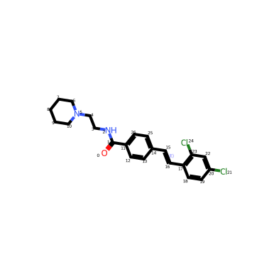 O=C(NCCN1CCCCC1)c1ccc(/C=C/c2ccc(Cl)cc2Cl)cc1